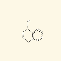 N#CC1C=C[CH]c2ccccc21